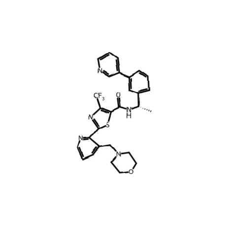 C[C@H](NC(=O)c1sc(-c2ncccc2CN2CCOCC2)nc1C(F)(F)F)c1cccc(-c2cccnc2)c1